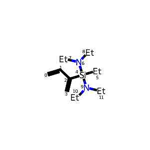 C=CC(=C)[Si](CC)(N(CC)CC)N(CC)CC